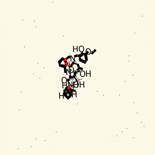 CCOc1cccc(CN(Cc2cccc(CN3O[C@@H](CO)[C@@H]([C@H](C)O)[C@H]3C(=O)N[C@H]3C[C@H]4C[C@@H]([C@@H]3C)C4(C)C)c2)[C@@H](CC(C)C)CN(C)C)c1O